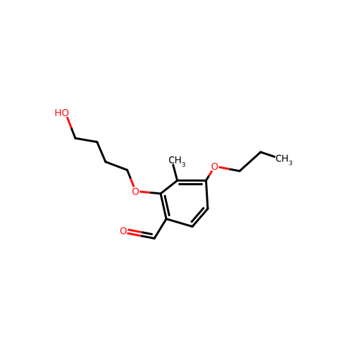 CCCOc1ccc(C=O)c(OCCCCO)c1C